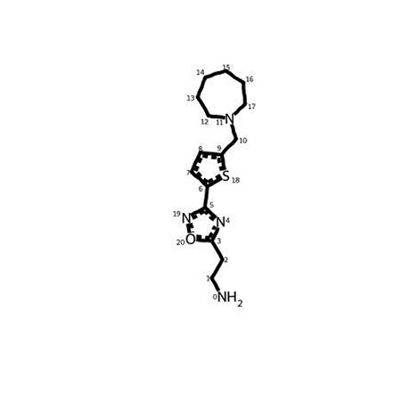 NCCc1nc(-c2ccc(CN3CCCCCC3)s2)no1